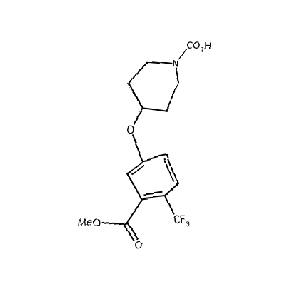 COC(=O)c1cc(OC2CCN(C(=O)O)CC2)ccc1C(F)(F)F